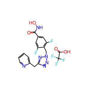 O=C(NO)c1cc(F)c(Cn2nnc(Cc3ccccn3)n2)c(F)c1.O=C(O)C(F)(F)F